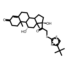 CC(C)(C)c1csc(SCC(=O)[C@@]2(O)CCC3C4CCC5=CC(=O)CCC5(C)C4[C@@H](O)CC32C)n1